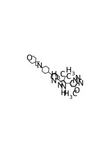 COc1cc(-c2[nH]nc(-c3ccc(C4CCC(N5CC6(CCOCC6)C5)CC4)cn3)c2C(C)C)cn2ncnc12